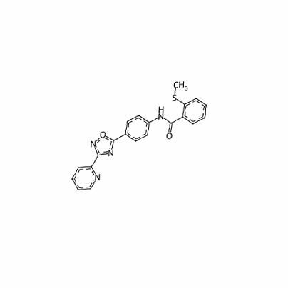 CSc1ccccc1C(=O)Nc1ccc(-c2nc(-c3ccccn3)no2)cc1